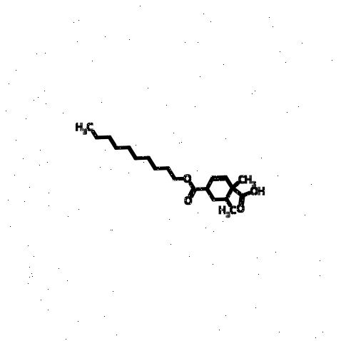 CCCCCCCCCCOC(=O)C1C=CC(C)(C(=O)O)C(C)C1